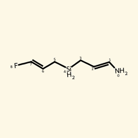 NC=CC[SiH2]CC=CF